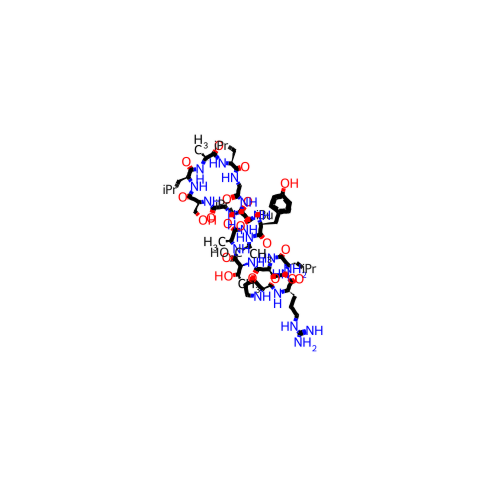 CC[C@H](C)[C@H](NC(=O)[C@H](C)NC(=O)[C@@H](NC(=O)[C@H](CC(N)=O)NC(=O)[C@H](CC(C)C)NC(=O)[C@H](CCCNC(=N)N)NC(=O)[C@@H]1CCCN1)[C@@H](C)O)C(=O)NCC(=O)N[C@@H](CO)C(=O)N[C@@H](CC(C)C)C(=O)N[C@@H](C)C(=O)N[C@@H](CC(C)C)C(=O)NCC(=O)N[C@@H](CC(C)C)C(=O)N[C@@H](Cc1ccc(O)cc1)C(=O)N[C@@H](C)C(=O)O